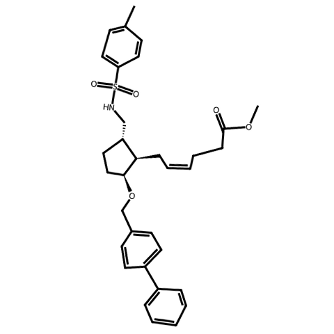 COC(=O)CC/C=C\C[C@@H]1[C@@H](CNS(=O)(=O)c2ccc(C)cc2)CC[C@@H]1OCc1ccc(-c2ccccc2)cc1